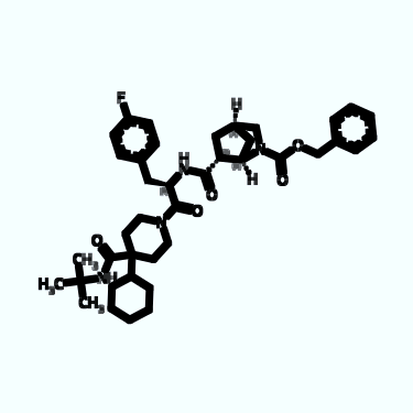 CC(C)(C)NC(=O)C1(C2CCCCC2)CCN(C(=O)[C@@H](Cc2ccc(F)cc2)NC(=O)[C@@H]2C[C@@H]3C[C@H]2N(C(=O)OCc2ccccc2)C3)CC1